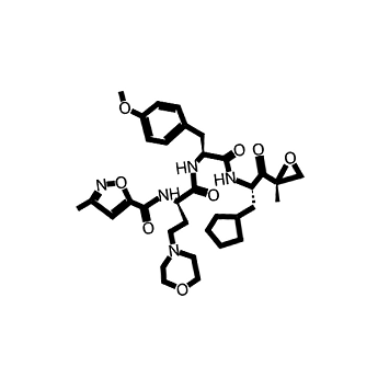 COc1ccc(C[C@H](NC(=O)[C@@H](CCN2CCOCC2)NC(=O)c2cc(C)no2)C(=O)N[C@@H](CC2CCCC2)C(=O)[C@@]2(C)CO2)cc1